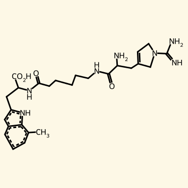 Cc1cccc2cc(CC(NC(=O)CCCCCNC(=O)C(N)CC3=CCN(C(=N)N)C3)C(=O)O)[nH]c12